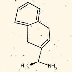 C[C@H](N)C1=CCc2ccccc2C1